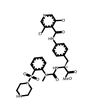 COC(=O)[C@H](Cc1ccc(NC(=O)c2c(Cl)cncc2Cl)cc1)NC(=O)N(C)c1ccccc1S(=O)(=O)N1CCNCC1